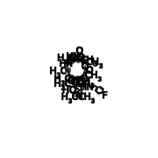 CC[C@H]1OC(=O)C(C)C(=O)[C@H](C)[C@@H](O[C@@H]2OC(CNCc3ccc(F)cc3)CC(N(C)C)C2O)[C@](C)(OC)C[C@@H](C)CN[C@H](C)[C@H]2NC(=O)O[C@@]21C